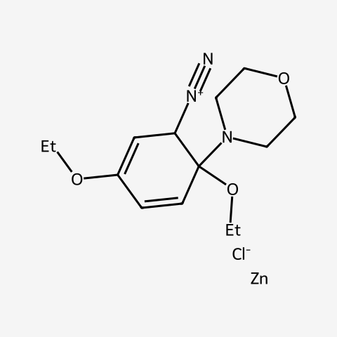 CCOC1=CC([N+]#N)C(OCC)(N2CCOCC2)C=C1.[Cl-].[Zn]